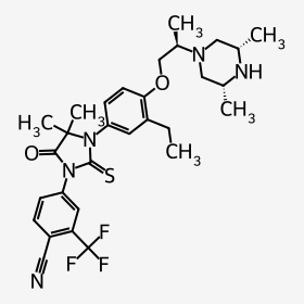 CCc1cc(N2C(=S)N(c3ccc(C#N)c(C(F)(F)F)c3)C(=O)C2(C)C)ccc1OC[C@@H](C)N1C[C@@H](C)N[C@@H](C)C1